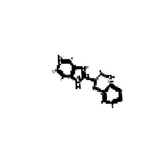 SC[C@@H](Cc1ccccc1)c1nc2cnccc2[nH]1